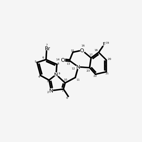 Cc1nc2ccc(Br)cn2c1CN1C(=O)COc2c(F)cccc21